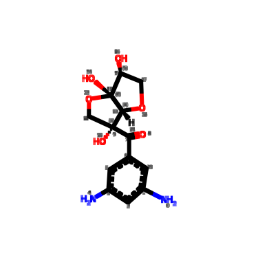 Nc1cc(N)cc(C(=O)[C@@]2(O)CO[C@]3(O)[C@@H](O)CO[C@@H]32)c1